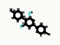 Cc1ccc(-c2cc(F)c(-c3ccc(C)cc3)c(F)c2)cc1